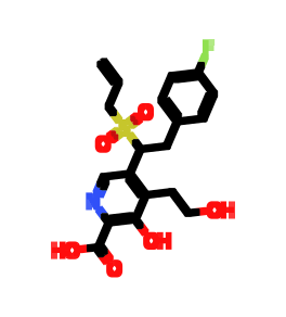 C=CCS(=O)(=O)C(Cc1ccc(F)cc1)c1cnc(C(=O)O)c(O)c1CCO